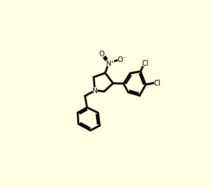 O=[N+]([O-])C1CN(Cc2ccccc2)CC1c1ccc(Cl)c(Cl)c1